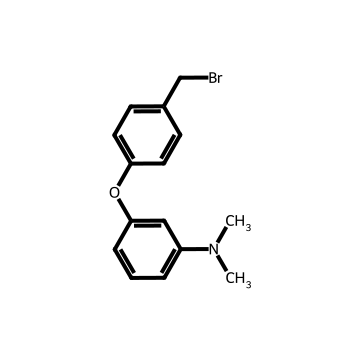 CN(C)c1cccc(Oc2ccc(CBr)cc2)c1